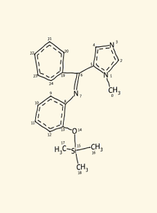 Cn1cncc1C(=Nc1ccccc1O[Si](C)(C)C)c1ccccc1